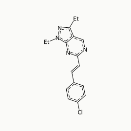 CCc1nn(CC)c2nc(C=Cc3ccc(Cl)cc3)ncc12